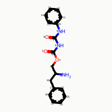 NC(COC(=O)NC(=O)Nc1ccccc1)Cc1ccccc1